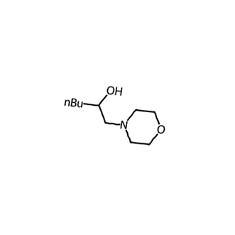 CCCCC(O)CN1CCOCC1